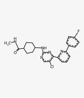 CNC(=O)C1CCC(Nc2ncc(Cl)c(-c3cccc(-c4ccc(F)cc4)n3)n2)CC1